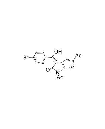 CC(=O)c1ccc2c(c1)C(=C(O)c1ccc(Br)cc1)C(=O)N2C(C)=O